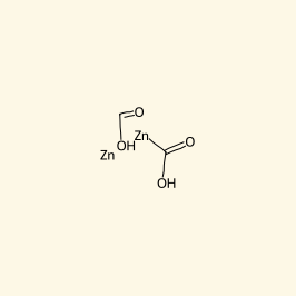 O=CO.O=[C](O)[Zn].[Zn]